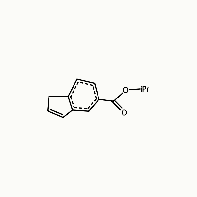 CC(C)OC(=O)c1ccc2c(c1)C=CC2